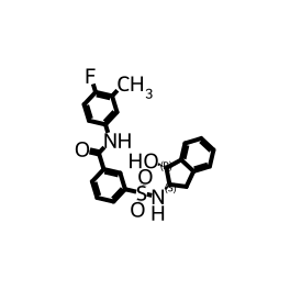 Cc1cc(NC(=O)c2cccc(S(=O)(=O)N[C@H]3Cc4ccccc4[C@H]3O)c2)ccc1F